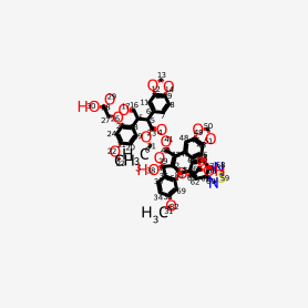 CCOC(=O)C(c1ccc2c(c1)OCO2)C(C=O)c1ccc(OC)cc1OCC(=O)O.COc1ccc(C2(O)OC(=O)C(c3ccc4c(c3)OCO4)=C2Cc2ccc3nsnc3c2)c(OCC(=O)O)c1